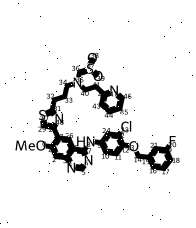 COc1cc2ncnc(Nc3ccc(OCc4cccc(F)c4)c(Cl)c3)c2cc1-c1csc(CCCN(C=S(=O)=O)CCc2ccccn2)n1